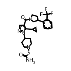 NC(=O)SN1CCC(n2ncc(C(=O)N3CCC(c4ccccc4C(F)(F)F)C3)c2C2CC2)CC1